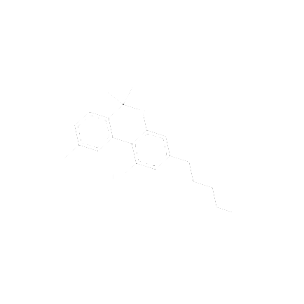 Cc1ccc2c(c1)-c1c(O)cc(CCCCCl)cc1OC2(C)C